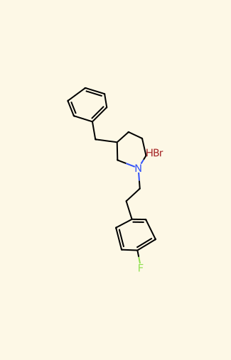 Br.Fc1ccc(CCN2CCCC(Cc3ccccc3)C2)cc1